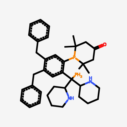 CC1(C)CC(=O)CC(C)(C)P1c1cc(Cc2ccccc2)c(Cc2ccccc2)cc1C(P)(C1CCCCN1)C1CCCCN1